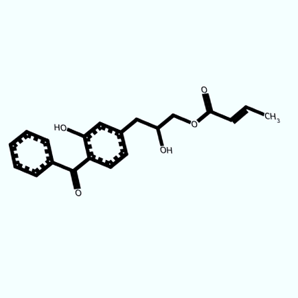 CC=CC(=O)OCC(O)Cc1ccc(C(=O)c2ccccc2)c(O)c1